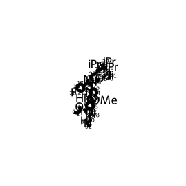 C=CC(=O)Nc1cc(Nc2nccc(-c3c(-c4ccc(F)cc4)nc(CCCO[Si](C(C)C)(C(C)C)C(C)C)n3COCC[Si](C)(C)C)n2)c(OC)cc1N(C)CCN(C)C